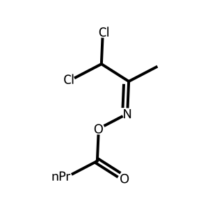 CCCC(=O)ON=C(C)C(Cl)Cl